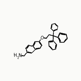 NCc1ccc2cc(OCCC(c3ccccc3)(c3ccccc3)c3ccccc3)ccc2c1